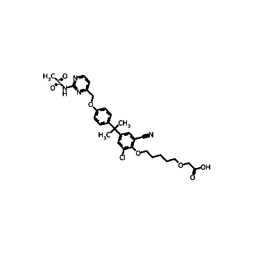 CC(C)(c1ccc(OCc2ccnc(NS(C)(=O)=O)n2)cc1)c1cc(Cl)c(OCCCCCOCC(=O)O)c(C#N)c1